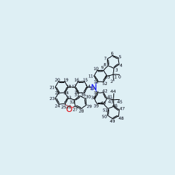 CC1(C)c2ccccc2-c2ccc(N(c3ccc(-c4cccc5ccc6oc7ccccc7c6c45)cc3)c3ccc4c(c3)C(C)(C)c3ccccc3-4)cc21